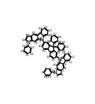 c1ccc(-n2ccc3cc4c5ccccc5n(-c5ccc6c(c5)C(c5ccccc5)(c5ccccc5)c5cc(-n7c8ccccc8c8cc9ccn(-c%10ccccc%10)c9cc87)ccc5-6)c4cc32)cc1